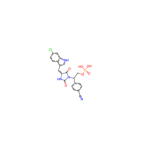 N#Cc1ccc(C(COP(=O)(O)O)N2C(=O)NC(=Cc3c[nH]c4cc(Cl)ccc34)C2=O)cc1